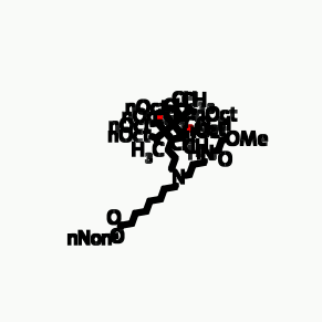 CCCCCCCCCOC(=O)CCCCCCCN(CCCNC(=O)COC)CCCC(C(C)CCCCCCCC)C(C(C)CCCCCCCC)(C(C)CCCCCCCC)C(C(C)CCCCCCCC)(C(C)CCCCCCCC)C(C(=O)O)(C(C)CCCCCCCC)C(C)CCCCCCCC